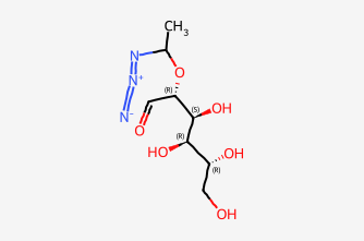 CC(N=[N+]=[N-])O[C@@H](C=O)[C@@H](O)[C@H](O)[C@H](O)CO